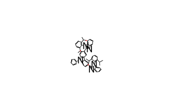 CC(C)c1cccc(C(C)C)c1-n1c(-c2ccc3c(c2)c2cc(-c4nc5ccccc5n4-c4c(C(C)C)cccc4C(C)C)ccc2n3-c2ccccc2)nc2ccccc21